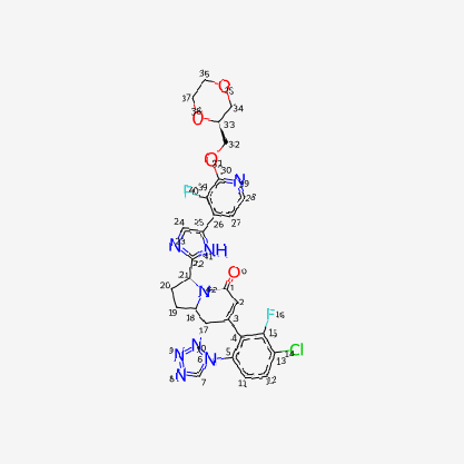 O=C1C=C(c2c(-n3cnnn3)ccc(Cl)c2F)CC2CCC(c3ncc(-c4ccnc(OC[C@@H]5COCCO5)c4F)[nH]3)N12